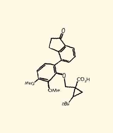 CCCCC1CC1(COc1c(-c2cccc3c2CCC3=O)ccc(OC)c1OC)C(=O)O